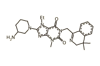 CCn1c(N2CCCC(N)C2)nc2c1c(=O)n(CC1=NCC(C)(C)c3ccccc31)c(=O)n2C